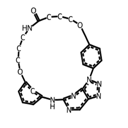 O=C1CCCOc2ccc(cc2)-n2nnc3cnc(nc32)Nc2cccc(c2)OCCCN1